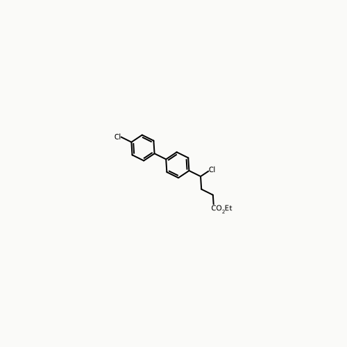 CCOC(=O)CCC(Cl)c1ccc(-c2ccc(Cl)cc2)cc1